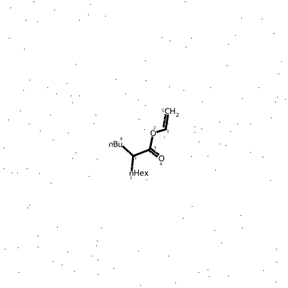 C=COC(=O)C(CCCC)CCCCCC